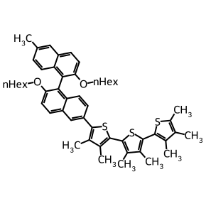 CCCCCCOc1ccc2cc(C)ccc2c1-c1c(OCCCCCC)ccc2cc(-c3sc(-c4sc(-c5sc(C)c(C)c5C)c(C)c4C)c(C)c3C)ccc12